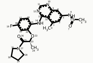 Cc1cc(/N=[SH](/C)=O)cc2ncnc(Nc3ccc(F)cc3O[C@H](C)C(=O)N3CCCC3)c12